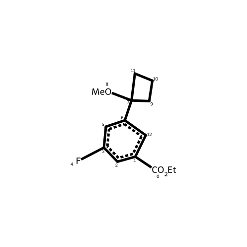 CCOC(=O)c1cc(F)cc(C2(OC)CCC2)c1